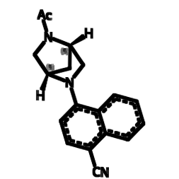 CC(=O)N1C[C@@H]2C[C@H]1CN2c1ccc(C#N)c2ccccc12